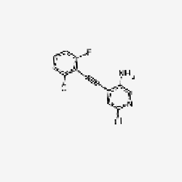 Nc1cnc(Cl)cc1C#Cc1c(F)cccc1Cl